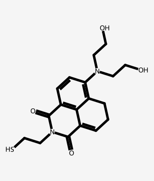 O=C1C2=CCCc3c(N(CCO)CCO)ccc(c32)C(=O)N1CCS